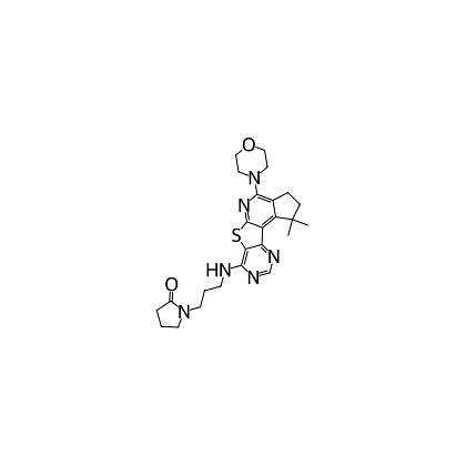 CC1(C)CCc2c(N3CCOCC3)nc3sc4c(NCCCN5CCCC5=O)ncnc4c3c21